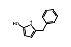 Oc1ccc(Cc2ccccc2)[nH]1